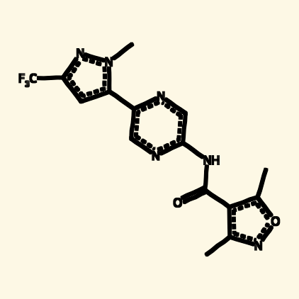 Cc1noc(C)c1C(=O)Nc1cnc(-c2cc(C(F)(F)F)nn2C)cn1